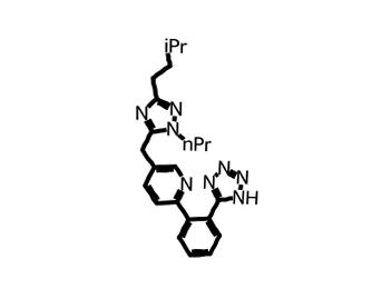 CCCn1nc(CCC(C)C)nc1Cc1ccc(-c2ccccc2-c2nnn[nH]2)nc1